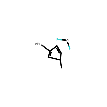 CCCCC1=C[C](C)C=C1.[F][Zr][F]